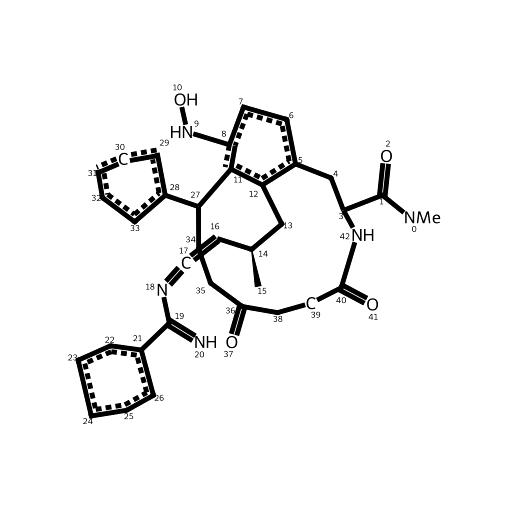 CNC(=O)C1Cc2ccc(NO)c(c2C[C@@H](C)C=C=NC(=N)c2ccccc2)C(c2ccccc2)CCC(=O)CCC(=O)N1